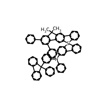 CC1(C)c2cc3c(cc2-c2c(-c4ccccc4)cc(-c4ccccc4)cc21)[Si]1(c2ccccc2-c2cc(N(c4ccccc4)c4cccc(C5(c6ccccc6)c6ccccc6-c6ccccc65)c4)ccc21)c1ccccc1-3